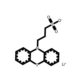 O=S(=O)([O-])CCCN1c2ccccc2Sc2ccccc21.[Li+]